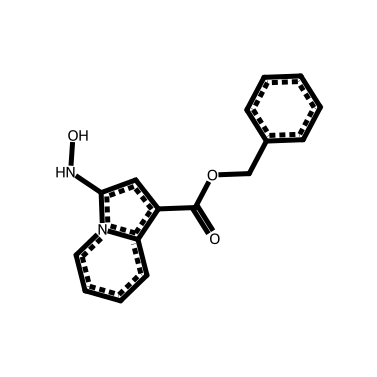 O=C(OCc1ccccc1)c1cc(NO)n2ccccc12